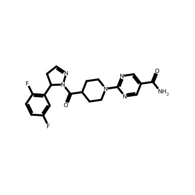 NC(=O)c1cnc(N2CCC(C(=O)N3N=CCC3c3cc(F)ccc3F)CC2)nc1